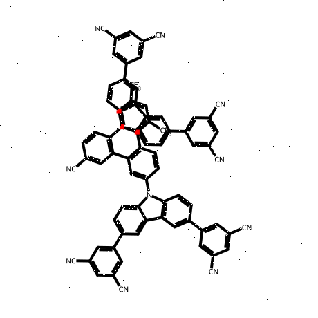 N#Cc1cc(C#N)cc(-c2ccc3c(c2)c2cc(-c4cc(C#N)cc(C#N)c4)ccc2n3-c2ccc(-c3ccc(C(F)(F)F)cc3C(F)(F)F)c(-c3cc(C#N)ccc3-n3c4ccc(-c5cc(C#N)cc(C#N)c5)cc4c4cc(-c5cc(C#N)cc(C#N)c5)ccc43)c2)c1